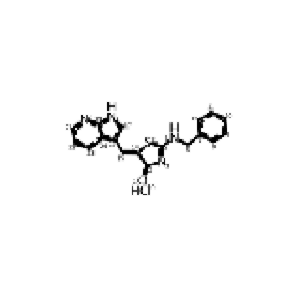 Cl.O=C1N=C(NCc2ccccc2)SC1=Cc1c[nH]c2ncccc12